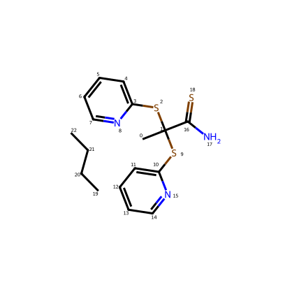 CC(Sc1ccccn1)(Sc1ccccn1)C(N)=S.CCCC